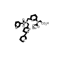 CC(C)(C)OC(=O)N(CC(=O)O)c1cccc(CN(Cc2ccc(-c3ccccc3)nn2)S(=O)(=O)c2cccnc2)n1